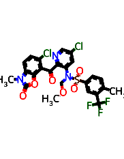 COCN(c1cc(Cl)cnc1C(=O)c1c(Cl)ccc2c1oc(=O)n2C)S(=O)(=O)c1ccc(C)c(C(F)(F)F)c1